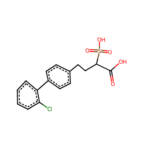 O=C(O)C(CCc1ccc(-c2ccccc2Cl)cc1)S(=O)(=O)O